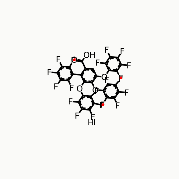 I.O=C(O)c1cc(Oc2c(F)c(F)c(F)c(F)c2F)c(Oc2c(F)c(F)c(F)c(F)c2F)c(Oc2c(F)c(F)c(F)c(F)c2F)c1-c1c(F)c(F)c(F)c(F)c1F